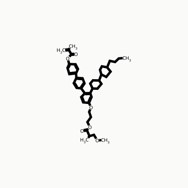 C=C(C)C(=O)Oc1ccc(-c2ccc(-c3ccc(OCCCOC(=O)C(C)COC)cc3C3CCC(C4CCC(CCCC)CC4)CC3)cc2)cc1